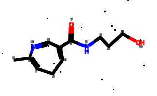 CC1=CCC=C(C(=O)NCCCO)C=N1